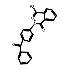 O=C(c1ccccc1)c1ccc(NC(=O)c2ccccc2C(=O)O)cc1